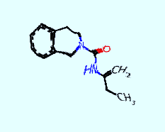 C=C(CC)NC(=O)N1CCc2ccccc2C1